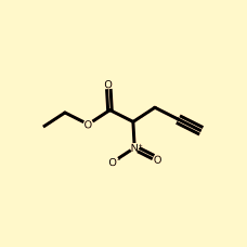 C#CCC(C(=O)OCC)[N+](=O)[O-]